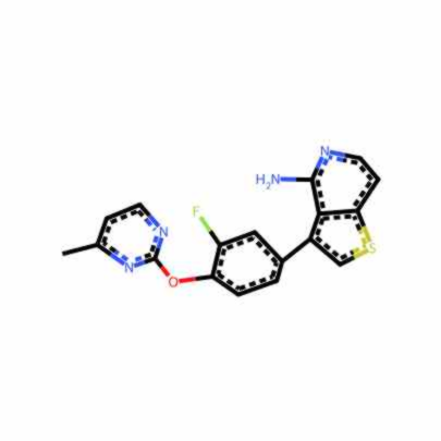 Cc1ccnc(Oc2ccc(-c3csc4ccnc(N)c34)cc2F)n1